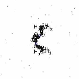 CC(C)(C)OC(=O)N1CCN(C(=O)/C=C/c2ccc(Sc3ccc(/C=C/C(=O)N4CCN(C(=O)OC(C)(C)C)CC4)cc3[N+](=O)[O-])c([N+](=O)[O-])c2)CC1